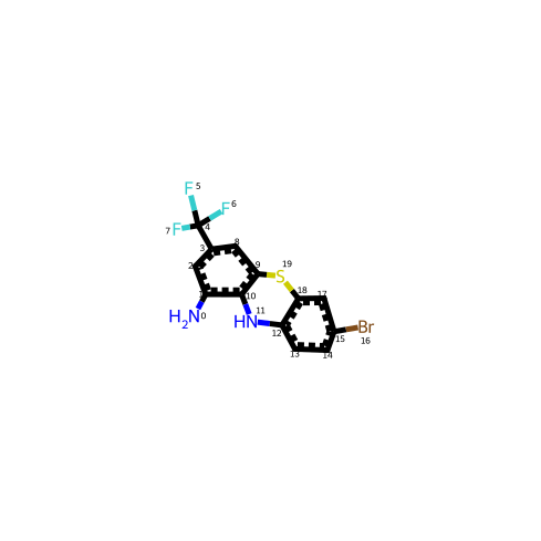 Nc1cc(C(F)(F)F)cc2c1Nc1ccc(Br)cc1S2